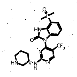 CP(C)(=O)c1cccc2c1[nH]c(=O)n2-c1nc(N[C@H]2CCCNC2)ncc1C(F)(F)F